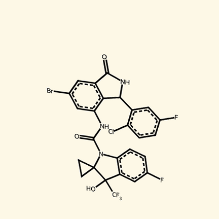 O=C1NC(c2cc(F)ccc2Cl)c2c(NC(=O)N3c4ccc(F)cc4C(O)(C(F)(F)F)C34CC4)cc(Br)cc21